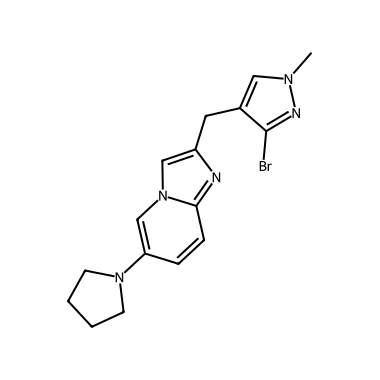 Cn1cc(Cc2cn3cc(N4CCCC4)ccc3n2)c(Br)n1